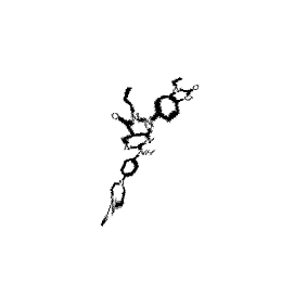 C=CCn1c(=O)c2cnc(Nc3ccc(N4CCN(C)CC4)cc3)nc2n1-c1ccc2oc(=O)n(CC)c2c1